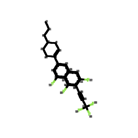 CCCC1CC=C(c2cc(F)c3c(F)c(C#CC(F)(F)F)c(F)cc3c2)CC1